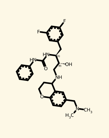 CN(C)Cc1ccc2c(c1)C(NC[C@@H](O)[C@H](Cc1cc(F)cc(F)c1)NC(=O)Nc1ccccc1)CCO2